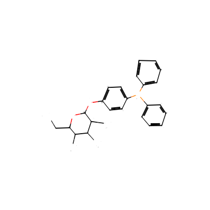 CC(=O)OCC1OC(Oc2ccc(P(c3ccccc3)c3ccccc3)cc2)C(OC(C)=O)C(OC(C)=O)C1OC(C)=O